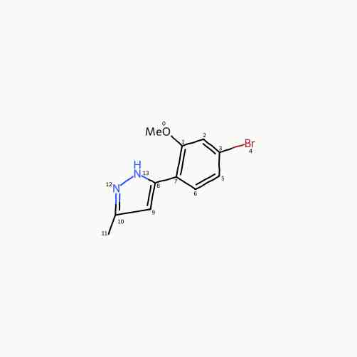 COc1cc(Br)ccc1-c1cc(C)n[nH]1